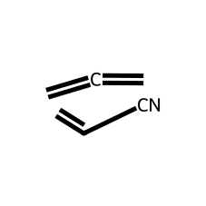 C=C=C.C=CC#N